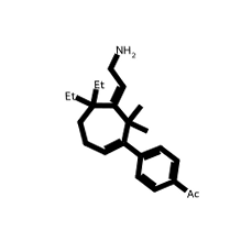 CCC1(CC)CCC=C(c2ccc(C(C)=O)cc2)C(C)(C)/C1=C/CN